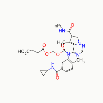 CCCNC(=O)C1CN2N=CN=C(N(C(=O)OCOC(=O)CCC(=O)O)c3cc(C(=O)NC4CC4)ccc3C)C2=C1C